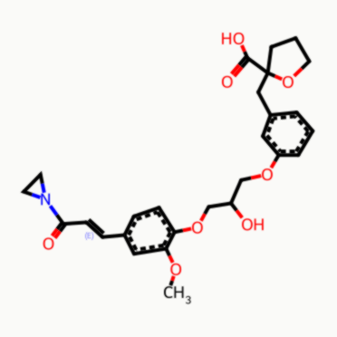 COc1cc(/C=C/C(=O)N2CC2)ccc1OCC(O)COc1cccc(CC2(C(=O)O)CCCO2)c1